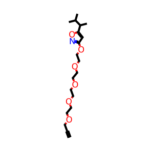 C#CCOCCOCCOCCOCCOc1cc(C(C)C(C)C)on1